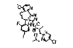 COc1ccnc2c1OC[C@H](c1ccc(F)cc1F)n1c(NS(=O)(=O)[C@@H](C)[C@@H](OC(C)C)c3ncc(Cl)cn3)nnc1-2